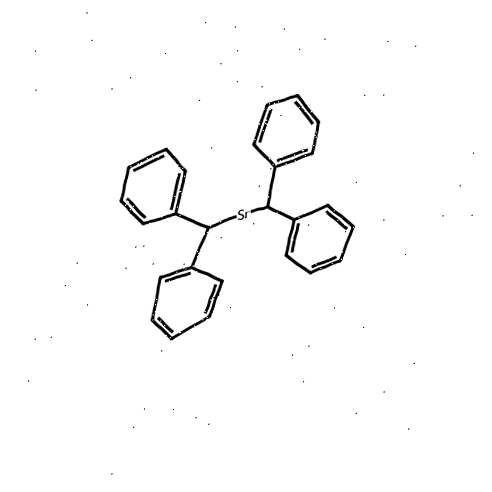 c1ccc([CH]([Sr][CH](c2ccccc2)c2ccccc2)c2ccccc2)cc1